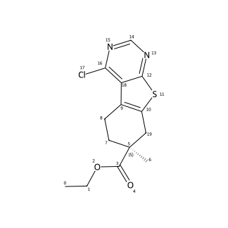 CCOC(=O)[C@@]1(C)CCc2c(sc3ncnc(Cl)c23)C1